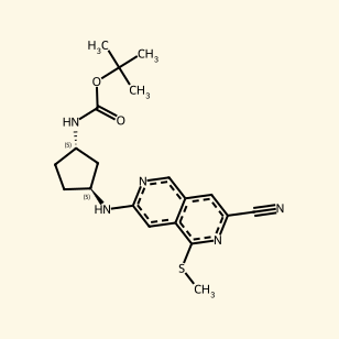 CSc1nc(C#N)cc2cnc(N[C@H]3CC[C@H](NC(=O)OC(C)(C)C)C3)cc12